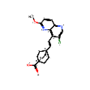 COc1ccc2ncc(Cl)c(/C=C/C34CCC(C(=O)O)(CC3)CC4)c2n1